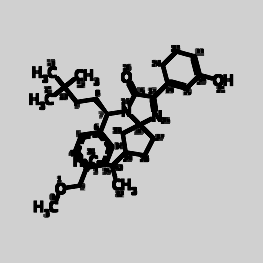 COCc1ccc([C@@H](CCC(C)(C)C)N2C(=O)C(C3=CC(O)=CCC3)=NC23CCC(C(C)C)C3)cc1